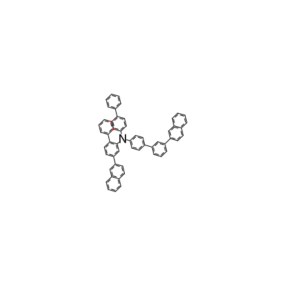 c1ccc(-c2ccc(N(c3ccc(-c4cccc(-c5ccc6ccccc6c5)c4)cc3)c3cc(-c4ccc5ccccc5c4)ccc3-c3ccccc3)cc2)cc1